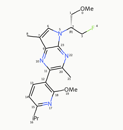 COC[C@H](CF)n1cc(C)c2nc(-c3ccc(C(C)C)nc3OC)c(C)nc21